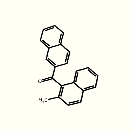 Cc1ccc2ccccc2c1C(=O)c1ccc2ccccc2c1